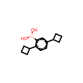 OB(O)c1cc(C2CCC2)ccc1C1CCC1